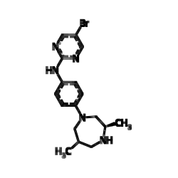 CC1CN[C@H](C)CN(c2ccc(Nc3ncc(Br)cn3)cc2)C1